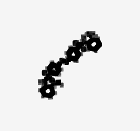 N[C@@H]1CCCC[C@H]1NS(=O)(=O)c1ccc(SSc2ccc(S(=O)(=O)N[C@H]3CCCC[C@@H]3N)cc2)cc1